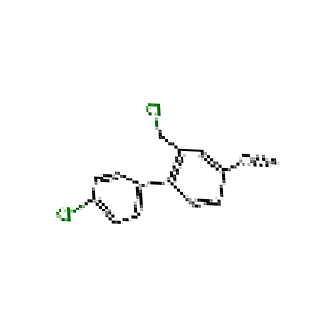 COc1ccc(-c2ccc(Cl)cc2)c(CCl)c1